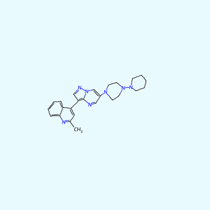 Cc1cc(-c2cnn3cc(N4CCN(N5CCCCC5)CC4)cnc23)c2ccccc2n1